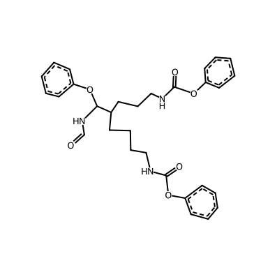 O=CNC(Oc1ccccc1)C(CCCCNC(=O)Oc1ccccc1)CCCNC(=O)Oc1ccccc1